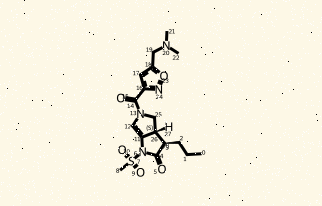 CCC[C@H]1C(=O)N(S(C)(=O)=O)C2=CN(C(=O)c3cc(CN(C)C)on3)C[C@@H]21